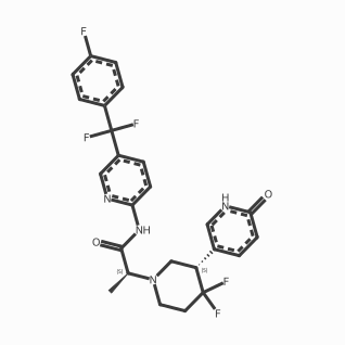 C[C@@H](C(=O)Nc1ccc(C(F)(F)c2ccc(F)cc2)cn1)N1CCC(F)(F)[C@@H](c2ccc(=O)[nH]c2)C1